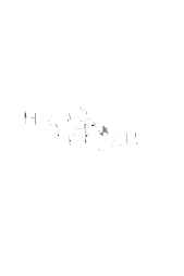 COc1cccc(CNC(=O)c2c(C)cccc2C)c1